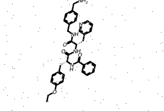 CCOc1ccc(C[C@@H](NC(=O)c2ccccc2)C(=O)N[C@@H](Cc2cccnc2)C(=O)NCc2ccc(CN)cc2)cc1